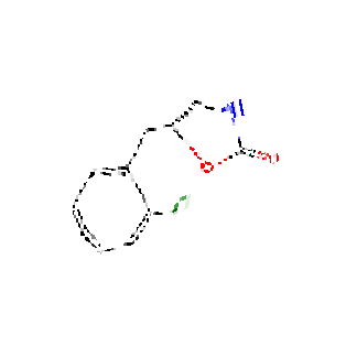 O=C1NCC(Cc2ccccc2Cl)O1